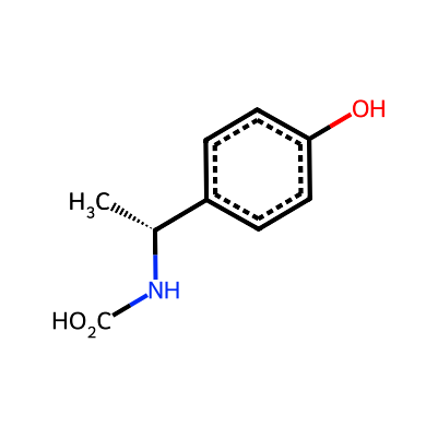 C[C@@H](NC(=O)O)c1ccc(O)cc1